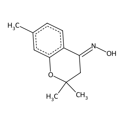 Cc1ccc2c(c1)OC(C)(C)CC2=NO